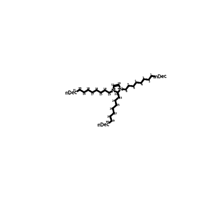 CCCCCCCCCCCCCCCCCCN1C=CN(CCCCCCCCCCCCCCCCCC)C1CCCCCCCCCCCCCCCCC